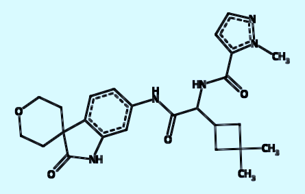 Cn1nccc1C(=O)NC(C(=O)Nc1ccc2c(c1)NC(=O)C21CCOCC1)C1CC(C)(C)C1